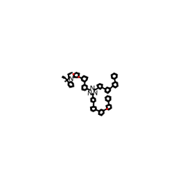 C#CC1(C)c2ccccc2N(c2cccc(-c3cccc(-c4cccc(-c5nc(-c6ccc(-c7cccc(-c8cccc(-c9cccc(-c%10ccccc%10)c9)c8)c7)cc6)nc(-c6cccc(-c7cccc(-c8cccc(-c9ccccc9)c8)c7)c6)n5)c4)c3)c2)C1/C=C\C